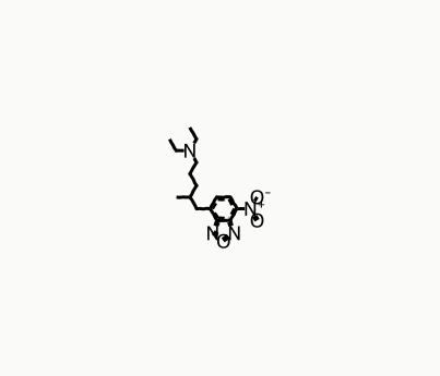 CCN(CC)CCCC(C)Cc1ccc([N+](=O)[O-])c2nonc12